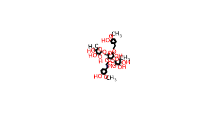 COc1ccc(CCO[C@@H]2O[C@H](CO[C@@H]3O[C@@H](C)[C@H](O)[C@@H](O)[C@H]3O)[C@@H](OC(=O)/C=C/c3ccc(O)c(OC)c3)[C@H](O[C@@H]3O[C@@H](C)[C@H](O)[C@@H](O)[C@H]3O)[C@H]2O)cc1O